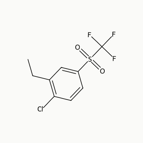 CCc1cc(S(=O)(=O)C(F)(F)F)ccc1Cl